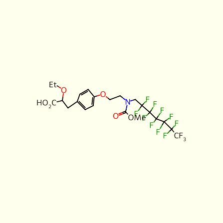 CCOC(Cc1ccc(OCCN(CC(F)(F)C(F)(F)C(F)(F)C(F)(F)C(F)(F)C(F)(F)F)C(=O)OC)cc1)C(=O)O